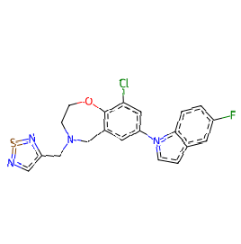 Fc1ccc2c(ccn2-c2cc(Cl)c3c(c2)CN(Cc2cnsn2)CCO3)c1